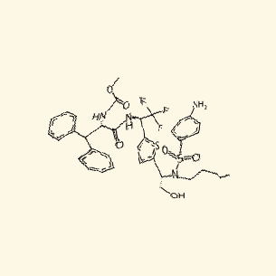 CCCCN([C@H](CO)c1ccc([C@@H](NC(=O)[C@@H](NC(=O)OC)C(c2ccccc2)c2ccccc2)C(F)(F)F)s1)S(=O)(=O)c1ccc(N)cc1